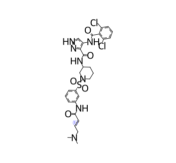 CN(C)C/C=C/C(=O)Nc1cccc(S(=O)(=O)N2CCCC(NC(=O)c3n[nH]cc3NC(=O)c3c(Cl)cccc3Cl)C2)c1